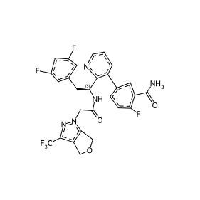 NC(=O)c1cc(-c2cccnc2[C@H](Cc2cc(F)cc(F)c2)NC(=O)Cn2nc(C(F)(F)F)c3c2COC3)ccc1F